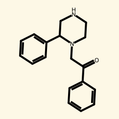 O=C(CN1CCNCC1c1ccccc1)c1ccccc1